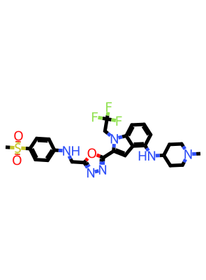 CN1CCC(Nc2cccc3c2cc(-c2nnc(CNc4ccc(S(C)(=O)=O)cc4)o2)n3CC(F)(F)F)CC1